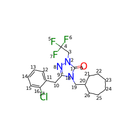 O=c1n(CC(F)(F)F)nc(Cc2ccccc2Cl)n1CC1CCCCCC1